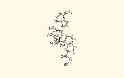 Cc1ncnc2c1ccn2[C@@H]1O[C@H]([C@](C)(O)c2cccc3c2CN(C(=O)OC(C)(C)C)CC3)[C@@](C)(O)[C@H]1O